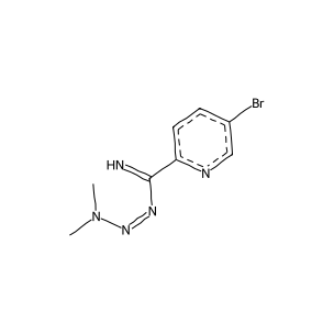 CN(C)/N=N\C(=N)c1ccc(Br)cn1